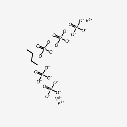 CCCC.O=P([O-])([O-])[O-].O=P([O-])([O-])[O-].O=P([O-])([O-])[O-].O=P([O-])([O-])[O-].O=P([O-])([O-])[O-].[V+5].[V+5].[V+5]